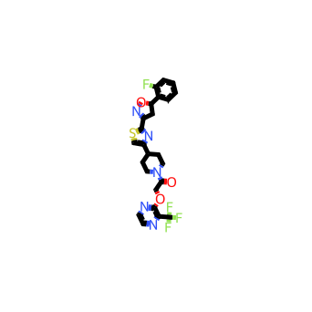 O=C(COc1nccnc1C(F)(F)F)N1CCC(c2csc(C3=NOC(c4[c]cccc4F)C3)n2)CC1